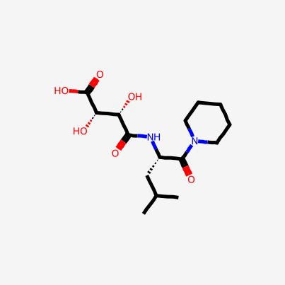 CC(C)C[C@H](NC(=O)[C@@H](O)[C@H](O)C(=O)O)C(=O)N1CCCCC1